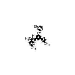 CCN1CCO[C@@H](COc2cc(C(=O)NC(C)c3cnc(C(F)(F)F)nc3)cc(-c3ncc(C)s3)c2)C1